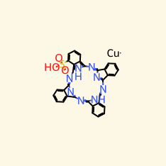 O=S(=O)(O)c1cccc2c3nc4nc(nc5[nH]c(nc6nc(nc([nH]3)c12)-c1ccccc1-6)c1ccccc51)-c1ccccc1-4.[Cu]